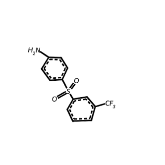 Nc1ccc(S(=O)(=O)c2cccc(C(F)(F)F)c2)cc1